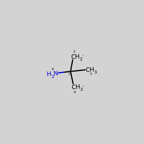 [CH2]C([CH2])(C)N